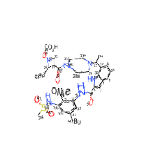 COc1c(NC(=O)c2cc3cccc(C(C)N4CCN(C(=O)C5CN(OC(=O)O)C5C(C)(C)C)CC4)c3[nH]2)cc(C(C)(C)C)cc1NS(C)(=O)=O